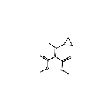 COC(=O)C(C(=O)OC)=C(C)C1CC1